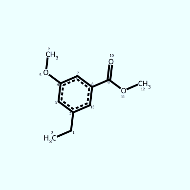 CCc1cc(OC)cc(C(=O)OC)c1